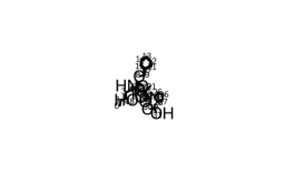 CCCCC(NC(=O)OCc1ccccc1)P(=O)(O)OC(C)C(=O)N1CCC[C@H]1C(=O)O